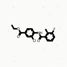 CCOC(=O)c1ccc(NC(=O)c2cccc(F)c2C)c(Cl)c1